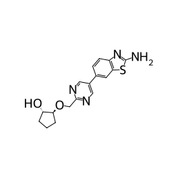 Nc1nc2ccc(-c3cnc(CO[C@H]4CCC[C@@H]4O)nc3)cc2s1